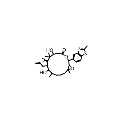 C=CCC1C(=O)C(C)(C)C(O)CC(=O)OC(c2ccc3sc(C)nc3c2)C2OC2(C)CCCC(C)C1O